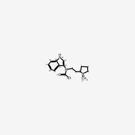 CCC(=O)N(CCC1CCCN1C)c1c[nH]c2ccccc12